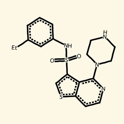 CCc1cccc(NS(=O)(=O)c2csc3ccnc(N4CCNCC4)c23)c1